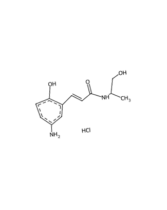 CC(CO)NC(=O)C=Cc1cc(N)ccc1O.Cl